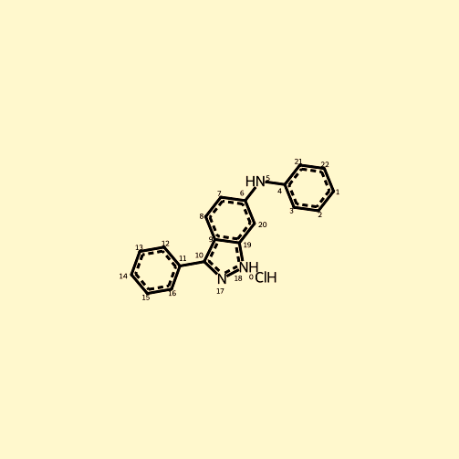 Cl.c1ccc(Nc2ccc3c(-c4ccccc4)n[nH]c3c2)cc1